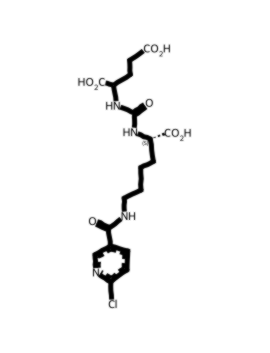 O=C(O)CCC(NC(=O)N[C@@H](CCCCNC(=O)c1ccc(Cl)nc1)C(=O)O)C(=O)O